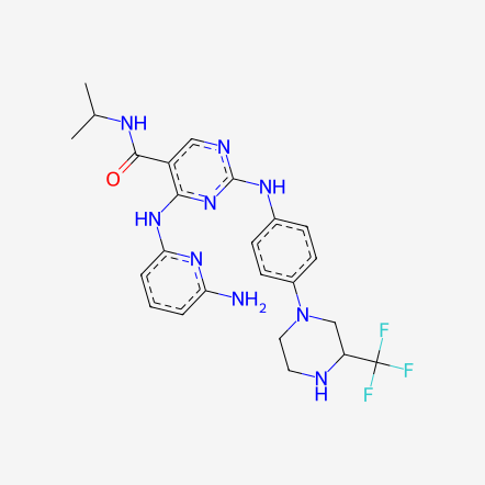 CC(C)NC(=O)c1cnc(Nc2ccc(N3CCNC(C(F)(F)F)C3)cc2)nc1Nc1cccc(N)n1